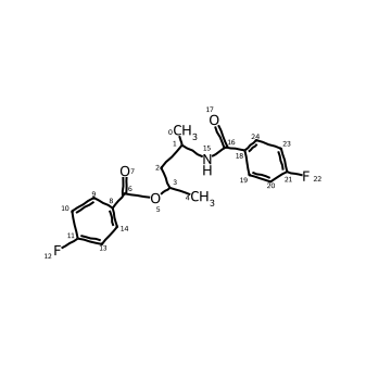 CC(CC(C)OC(=O)c1ccc(F)cc1)NC(=O)c1ccc(F)cc1